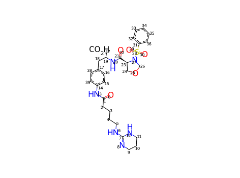 O=C(CCCCNC1=NCCCN1)Nc1ccc(C[C@H](NC(=O)[C@@H]2COCN2S(=O)(=O)c2ccccc2)C(=O)O)cc1